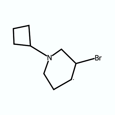 BrC1[CH]CCN(C2CCC2)C1